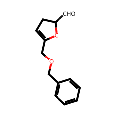 O=CC1CC=C(COCc2ccccc2)O1